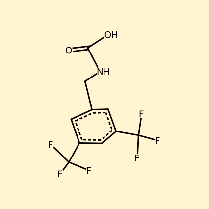 O=C(O)NCc1cc(C(F)(F)F)cc(C(F)(F)F)c1